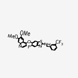 COc1cc2nccc(Oc3cc4sc(NCc5cccc(C(F)(F)F)c5)nc4cc3F)c2cc1OC